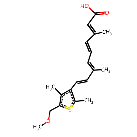 COCc1sc(C)c(C=CC(C)=CC=C/C(C)=C/C(=O)O)c1C